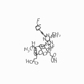 CNC(=O)C12C(OC(=O)CCC(=O)O)C(OC(=O)CCC(=O)O)C3(n4c(C(F)(F)F)nc5c(NC)nc(C#Cc6ccc(F)s6)nc54)C1C23